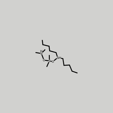 CCCCC[SiH](CCCCC)O[Si](C)(C)O[SiH](C)C